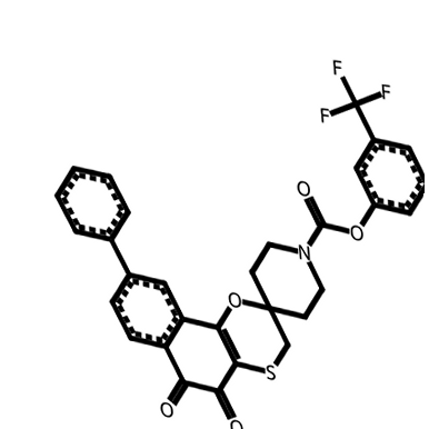 O=C1C(=O)c2ccc(-c3ccccc3)cc2C2=C1SCC1(CCN(C(=O)Oc3cccc(C(F)(F)F)c3)CC1)O2